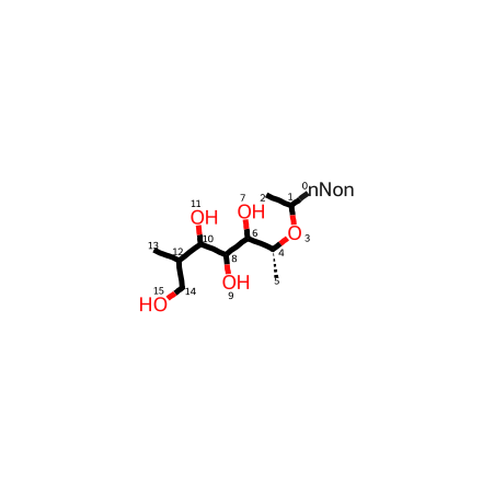 CCCCCCCCCC(C)O[C@H](C)C(O)C(O)C(O)C(C)CO